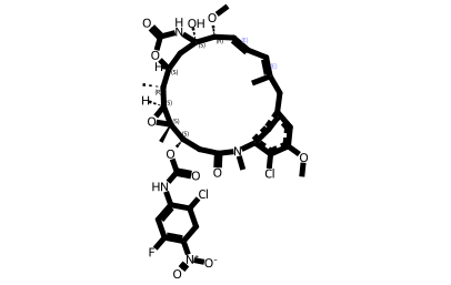 COc1cc2cc(c1Cl)N(C)C(=O)C[C@H](OC(=O)NC1=CC(F)=C([N+](=O)[O-])CC1Cl)[C@]1(C)O[C@H]1[C@H](C)[C@@H]1C[C@@](O)(NC(=O)O1)[C@H](OC)/C=C/C=C(\C)C2